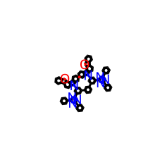 c1ccc(-c2nc(-c3ccccc3)nc(-c3cc(-c4cccc(-c5cc(-c6nc(-c7ccccc7)nc(-c7ccccc7)n6)cc(-n6c7ccccc7c7c8oc9ccccc9c8ccc76)c5)c4)cc(-n4c5ccccc5c5c6oc7ccccc7c6ccc54)c3)n2)cc1